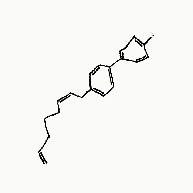 C=CCCC/C=C\Cc1ccc(-c2ccc(F)cc2)cc1